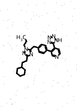 CCCn1nc(CCC2CCCCC2)nc1Cc1ccc(-c2cnccc2-c2nnn[nH]2)cc1